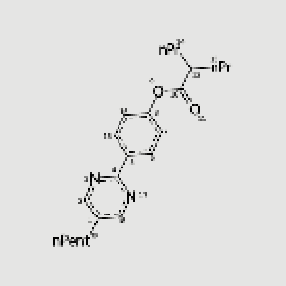 CCCCCc1cnc(-c2ccc(OC(=O)C(CCC)CCC)cc2)nc1